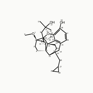 CO[C@]12CC[C@@]3(C[C@@H]1CC(C)(C)O)C1Cc4ccc(O)c5c4[C@@]3(CCN1CC1CC1)[C@H]2O5